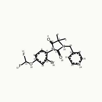 CC1(C)C(=O)N(c2ccc(OC(F)F)cc2Br)C(=O)N1Cc1ccncc1